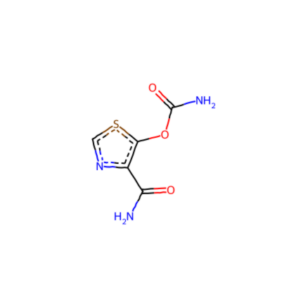 NC(=O)Oc1scnc1C(N)=O